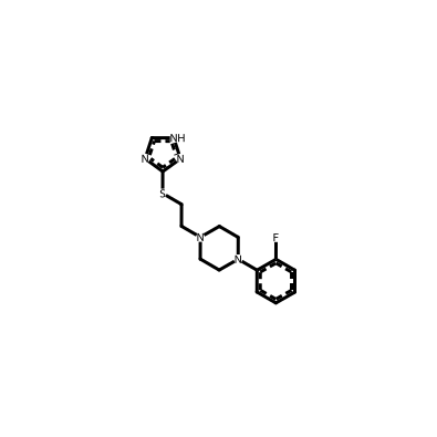 Fc1ccccc1N1CCN(CCSc2nc[nH]n2)CC1